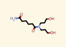 NC(=O)CCCCC(=O)N(CCCO)CCCO